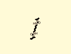 CCC1CN1C(=O)NCCCCCCNC(=O)N1CC1C